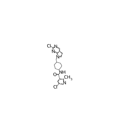 Cc1ncc(Cl)cc1C(=O)NC1CCC(Cn2ccc3cnc(Cl)nc32)CC1